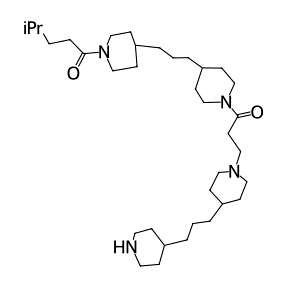 CC(C)CCC(=O)N1CCC(CCCC2CCN(C(=O)CCN3CCC(CCCC4CCNCC4)CC3)CC2)CC1